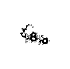 CCOC(=O)N1CCC(NS(=O)(=O)c2ccc(NC(=O)c3ccccc3C)c3c2CCC3)C1